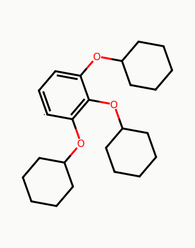 [c]1ccc(OC2CCCCC2)c(OC2CCCCC2)c1OC1CCCCC1